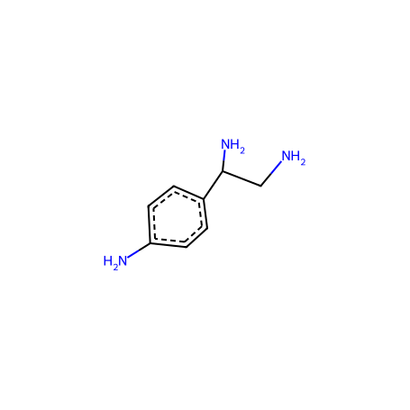 NCC(N)c1ccc(N)cc1